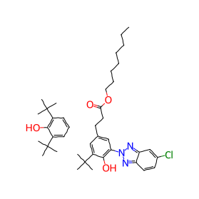 CC(C)(C)c1cccc(C(C)(C)C)c1O.CCCCCCCCOC(=O)CCc1cc(-n2nc3ccc(Cl)cc3n2)c(O)c(C(C)(C)C)c1